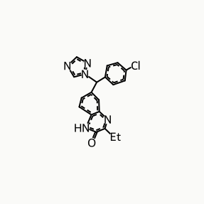 CCc1nc2cc(C(c3ccc(Cl)cc3)n3cncn3)ccc2[nH]c1=O